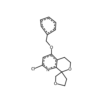 Clc1cc(OCc2ccccc2)c2c(n1)C1(CCOC1)OCC2